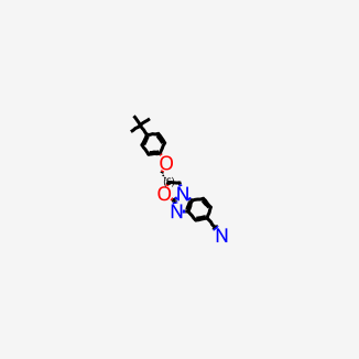 CC(C)(C)c1ccc(OC[C@@H]2Cn3c(nc4cc(C#N)ccc43)O2)cc1